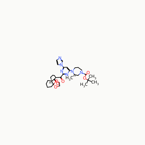 C[C@H]1CN(C(=O)OC(C)(C)C)CCCN1c1cc(-n2ccnc2)nc(C(=O)C2CCC[C@@]3(CCCCC34OCCO4)C2=O)n1